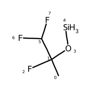 CC(F)(O[SiH3])C(F)F